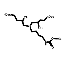 CCCCCCCCCCCCC(O)CN(CCCCNC(=O)OC(C)(C)C)CC(O)CCCCCCCCCCCC